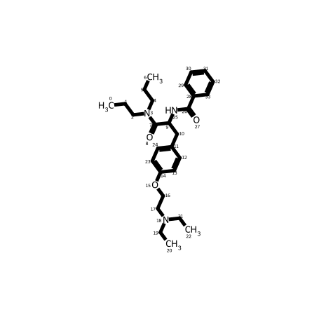 CCCN(CCC)C(=O)C(Cc1ccc(OCCN(CC)CC)cc1)NC(=O)c1ccccc1